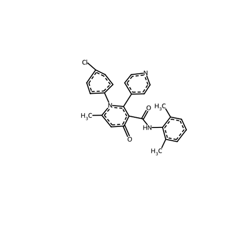 Cc1cccc(C)c1NC(=O)c1c(-c2ccncc2)n(-c2ccc(Cl)cc2)c(C)cc1=O